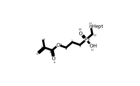 C=C(C)C(=O)OCCCP(=O)(O)CCCCCCCC